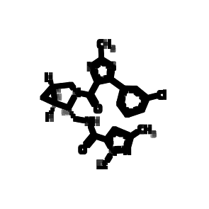 CCn1nc(C)cc1C(=O)NC[C@@H]1[C@H]2C[C@H]2CN1C(=O)c1nc(C)sc1-c1cccc(Cl)c1